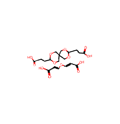 O=C(O)C=COC=CC(=O)O.O=C(O)CCC1OCC2(CO1)COC(CCC(=O)O)OC2